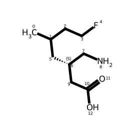 CC(CCF)C[C@H](CN)CC(=O)O